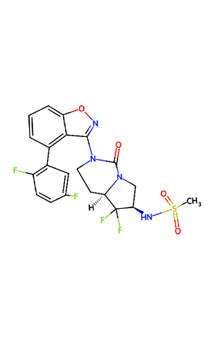 CS(=O)(=O)N[C@@H]1CN2C(=O)N(c3noc4cccc(-c5cc(F)ccc5F)c34)CC[C@@H]2C1(F)F